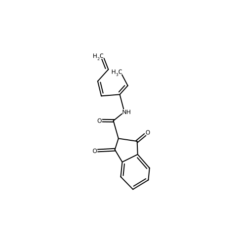 C=C/C=C\C(=C/C)NC(=O)C1C(=O)c2ccccc2C1=O